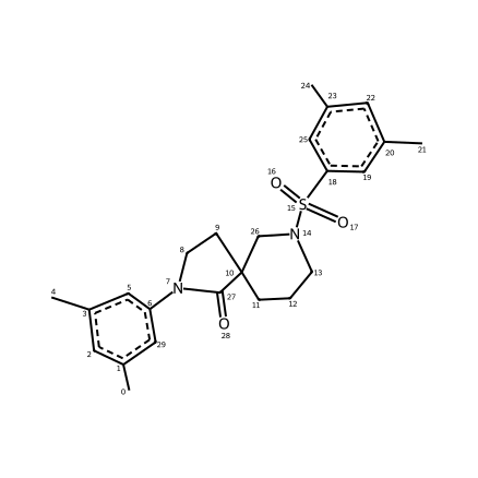 Cc1cc(C)cc(N2CCC3(CCCN(S(=O)(=O)c4cc(C)cc(C)c4)C3)C2=O)c1